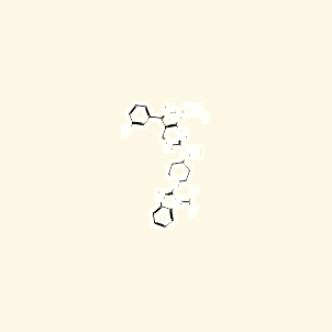 Cn1nc(-c2cccc(F)c2)c2cnc(NC3CCN(c4nc5ccccc5n4C(F)F)CC3)nc21